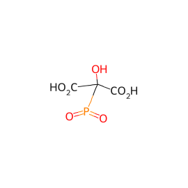 O=C(O)C(O)(C(=O)O)P(=O)=O